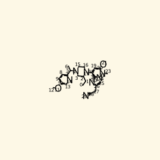 CCC1CN(C(C)c2ccc(OC)cn2)CCN1c1cc(=O)n(C)n2cc(CC#N)nc12